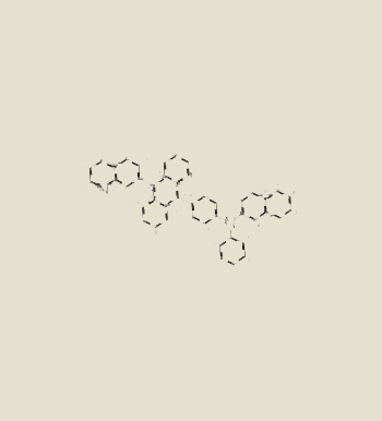 c1ccc(N(c2ccc(-c3c4ccccc4c(-c4ccc5cccnc5c4)c4ccccc34)cc2)c2ccc3ccccc3c2)cc1